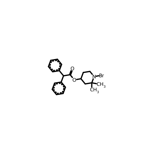 CC1(C)CC(OC(=O)C(c2ccccc2)c2ccccc2)CCN1Br